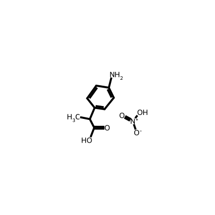 CC(C(=O)O)c1ccc(N)cc1.O=[N+]([O-])O